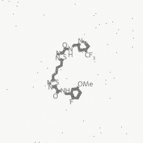 COc1ccc(F)c(CNC(=O)c2nnc(CCCCc3nnc(C(=O)NCc4cc(C(F)(F)F)ccn4)s3)s2)c1